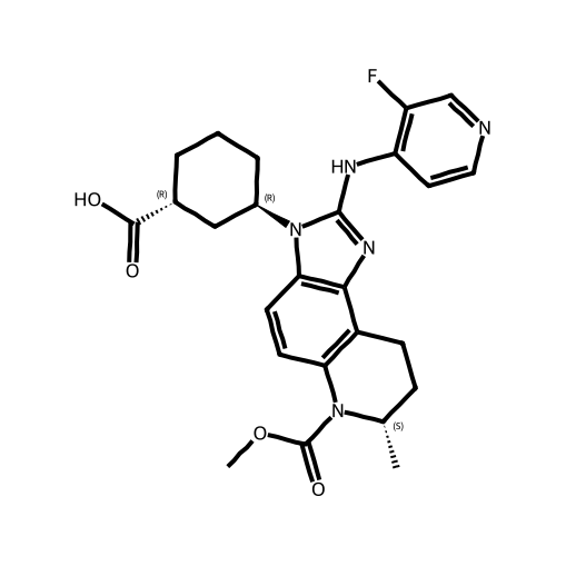 COC(=O)N1c2ccc3c(nc(Nc4ccncc4F)n3[C@@H]3CCC[C@@H](C(=O)O)C3)c2CC[C@@H]1C